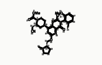 COC(=O)N1CCN(c2nc(OC[C@@H]3CCCN3C)nc3c(=O)n(-c4c(F)cccc4OC)c(C(F)(F)F)nc23)C[C@@H]1CC#N